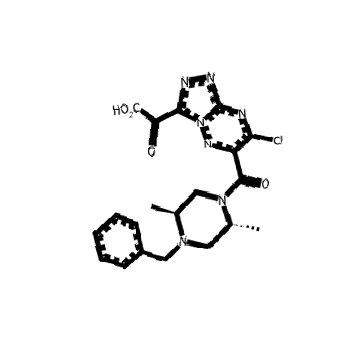 C[C@@H]1CN(Cc2ccccc2)[C@@H](C)CN1C(=O)c1nn2c(C(=O)C(=O)O)nnc2nc1Cl